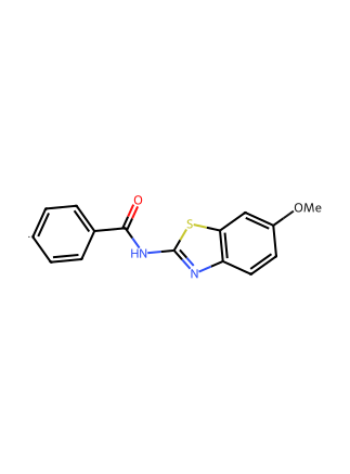 COc1ccc2nc(NC(=O)c3cc[c]cc3)sc2c1